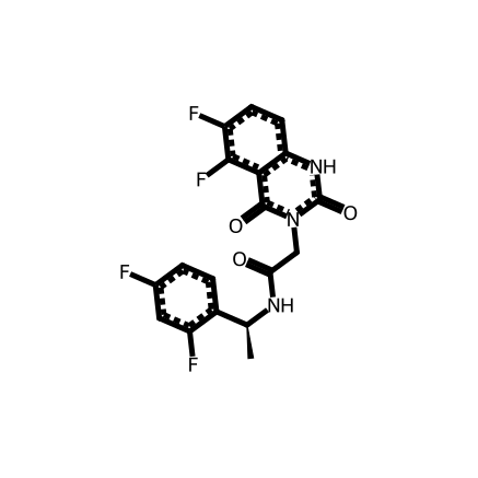 C[C@H](NC(=O)Cn1c(=O)[nH]c2ccc(F)c(F)c2c1=O)c1ccc(F)cc1F